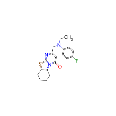 CCN(Cc1cc(=O)n2c3c(sc2n1)CCCC3)c1ccc(F)cc1